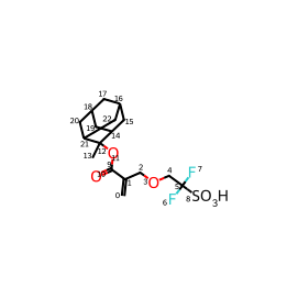 C=C(COCC(F)(F)S(=O)(=O)O)C(=O)OC1(C)C2CC3CC(C2)CC1C3